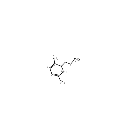 CC1=CN=C(C)C(CCC=O)P1